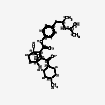 CB(O)NC(C)Cc1ccc(OC(=O)C2C(C(=O)N3CCN(C)CC3)[C@@H]3CC[C@H]2O3)cc1